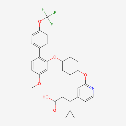 COc1ccc(-c2ccc(OC(F)(F)F)cc2)c(OC2CCC(Oc3cc(C(CC(=O)O)C4CC4)ccn3)CC2)c1